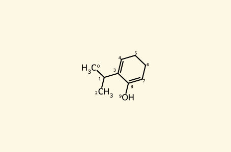 CC(C)C1=CCCC=C1O